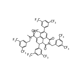 CN(Cc1cc(C(F)(F)F)cc(C(F)(F)F)c1)C(=O)C1=CC(c2cc(C(F)(F)F)cc(C(F)(F)F)c2)C2C(=O)N(Cc3cc(C(F)(F)F)cc(C(F)(F)F)c3)C(=O)c3cc(-c4cc(C(F)(F)F)cc(C(F)(F)F)c4)c(C=O)c1c32